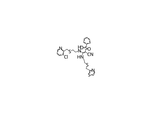 N#CC(=C(NCCSCc1nccs1)NCCSCc1ncccc1Cl)S(=O)(=O)c1ccccc1